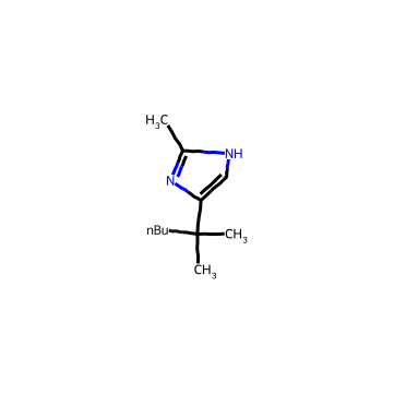 CCCCC(C)(C)c1c[nH]c(C)n1